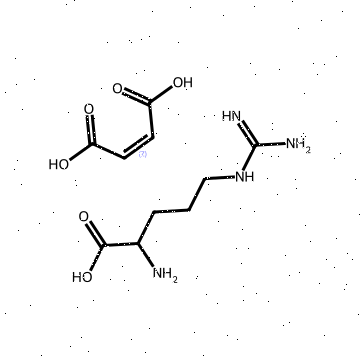 N=C(N)NCCCC(N)C(=O)O.O=C(O)/C=C\C(=O)O